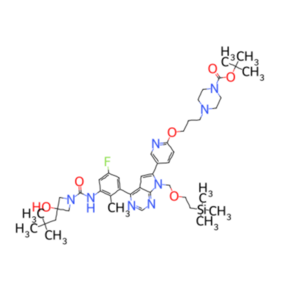 Cc1c(NC(=O)N2CC(O)(CC(C)(C)C)C2)cc(F)cc1-c1ncnc2c1cc(-c1ccc(OCCCN3CCN(C(=O)OC(C)(C)C)CC3)nc1)n2COCC[Si](C)(C)C